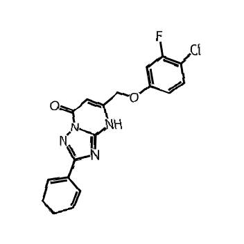 O=c1cc(COc2ccc(Cl)c(F)c2)[nH]c2nc(C3=CCCC=C3)nn12